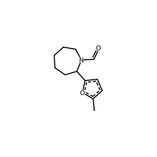 Cc1ccc(C2CCCCCN2C=O)o1